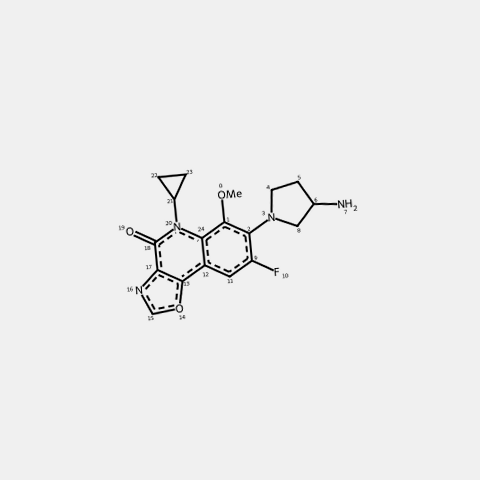 COc1c(N2CCC(N)C2)c(F)cc2c3ocnc3c(=O)n(C3CC3)c12